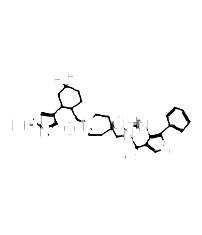 CCn1cc(C2CC(F)(F)CCC2C(=O)N2CCC(O)(Cn3cnc4c(-c5ccccc5)scc4c3=O)CC2)cn1